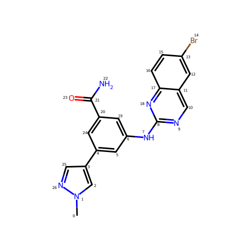 Cn1cc(-c2cc(Nc3ncc4cc(Br)ccc4n3)cc(C(N)=O)c2)cn1